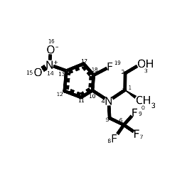 C[C@H](CO)N(CC(F)(F)F)c1ccc([N+](=O)[O-])cc1F